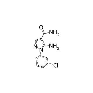 NC(=O)c1cnn(-c2cccc(Cl)c2)c1N